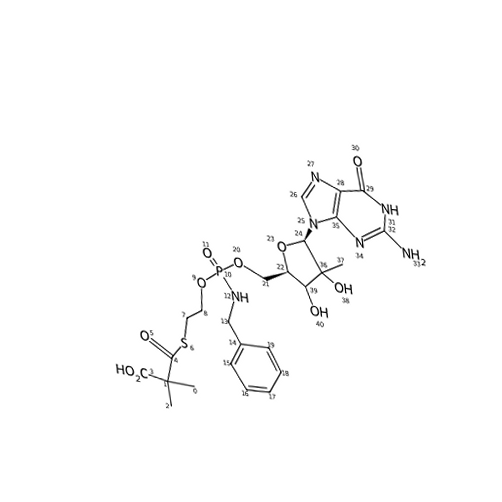 CC(C)(C(=O)O)C(=O)SCCOP(=O)(NCc1ccccc1)OC[C@H]1O[C@@H](n2cnc3c(=O)[nH]c(N)nc32)C(C)(O)C1O